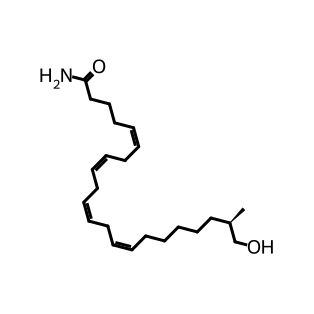 C[C@@H](CO)CCCCC/C=C\C/C=C\C/C=C\C/C=C\CCCC(N)=O